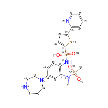 CN(c1cc(N2CCCNCC2)ccc1NS(=O)(=O)c1ccc(-c2ccccn2)s1)S(C)(=O)=O